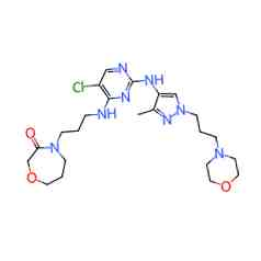 Cc1nn(CCCN2CCOCC2)cc1Nc1ncc(Cl)c(NCCCN2CCCOCC2=O)n1